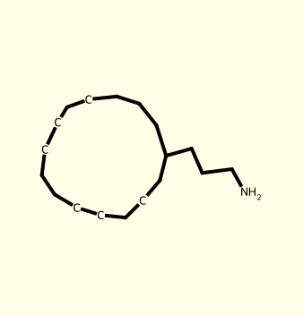 NCCCC1CCCCCCCCCCCCCC1